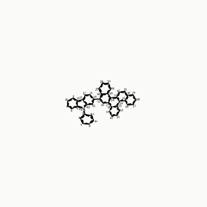 c1ccc(-n2c3ccccc3c3ccc(-c4cc5c6ccccc6c6c7ccccc7ccc6c5c5ccccc45)cc32)cc1